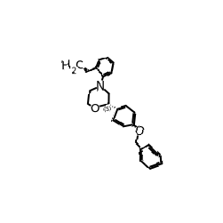 C=Cc1ccccc1N1CCO[C@@H](c2ccc(OCc3ccccc3)cc2)C1